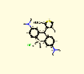 Cc1csc(C(=O)O)c1C1c2cc(N(C)C)ccc2[Si](C)(C)c2cc(N(C)C)ccc21.Cl